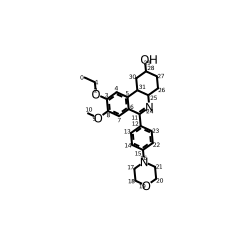 CCOc1cc2c(cc1OC)C(c1ccc(N3CCOCC3)cc1)=NC1CCC(O)CC21